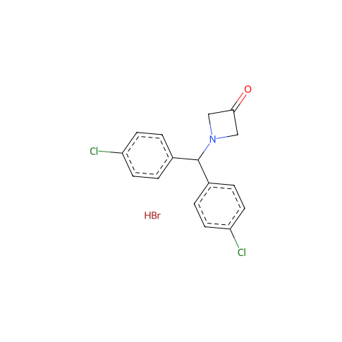 Br.O=C1CN(C(c2ccc(Cl)cc2)c2ccc(Cl)cc2)C1